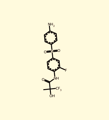 CC(O)(C(=O)Nc1ccc(S(=O)(=O)c2ccc(N)cc2)cc1F)C(F)(F)F